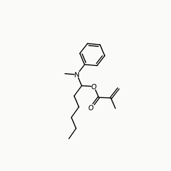 C=C(C)C(=O)OC(CCCCC)N(C)c1ccccc1